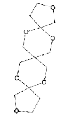 C1CC2(CO1)OCC1(CO2)COC2(CCOC2)OC1